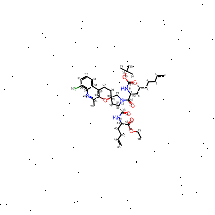 C=CCCCCC[C@H](NC(=O)OC(C)(C)C)C(=O)N1C[C@@]2(CCc3c(c(C)nc4c(F)cccc34)O2)C[C@H]1C(=O)NC(CCC=C)C(=O)OCC